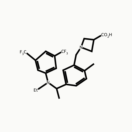 CCN(c1cc(C(F)(F)F)cc(C(F)(F)F)c1)C(C)c1ccc(C)c(CN2CC(C(=O)O)C2)c1